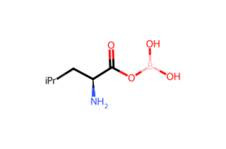 CC(C)C[C@H](N)C(=O)OB(O)O